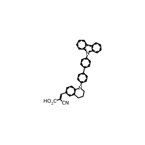 N#C/C(=C\c1ccc2c(c1)CCCN2c1ccc(-c2ccc(-n3c4ccccc4c4ccccc43)cc2)cc1)C(=O)O